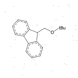 CC(C)(C)OCC1c2ccccc2-c2ccccc21